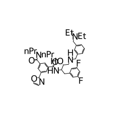 CCCN(CCC)C(=O)c1cc(C(=O)NC(Cc2cc(F)cc(F)c2)C(O)CNCc2cccc(CN(CC)CC)c2)cc(-c2ncco2)c1